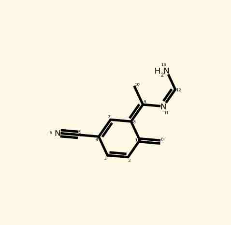 C=c1ccc(C#N)c/c1=C(C)/N=C\N